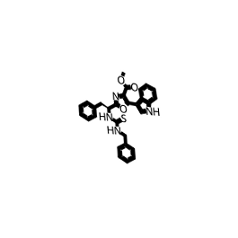 COC(=O)c1nc([C@H](Cc2ccccc2)NC(=S)NCc2ccccc2)oc1-c1c[nH]c2ccccc12